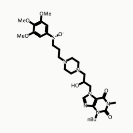 CCCCn1c(=O)n(C)c(=O)c2c1ncn2CC(O)CN1CCN(CCC[S+]([O-])c2cc(OC)c(OC)c(OC)c2)CC1